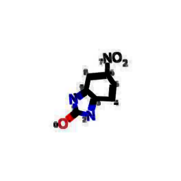 O=C1N=c2ccc([N+](=O)[O-])cc2=N1